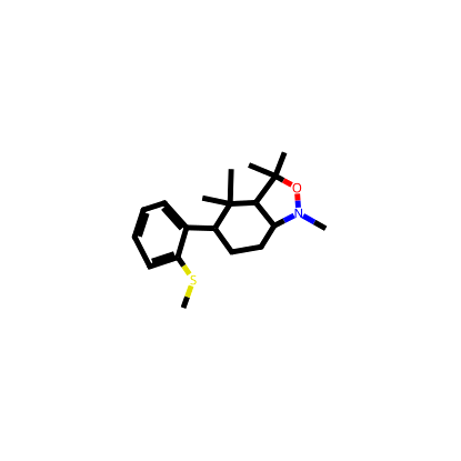 CSc1ccccc1C1CCC2C(C(C)(C)ON2C)C1(C)C